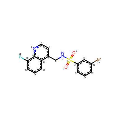 O=S(=O)(NCc1ccnc2c(F)cccc12)c1cccc(Br)c1